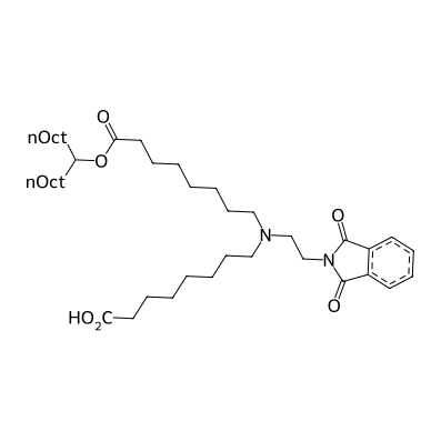 CCCCCCCCC(CCCCCCCC)OC(=O)CCCCCCCN(CCCCCCCC(=O)O)CCN1C(=O)c2ccccc2C1=O